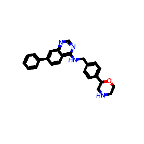 c1ccc(-c2ccc3c(NCc4ccc(C5CNCCO5)cc4)ncnc3c2)cc1